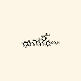 CC(C)(C)c1ccc(C(Cc2ccc(C(=O)O)cc2)C(=O)Nc2ccc(-c3cc4ccccc4o3)cc2)cc1